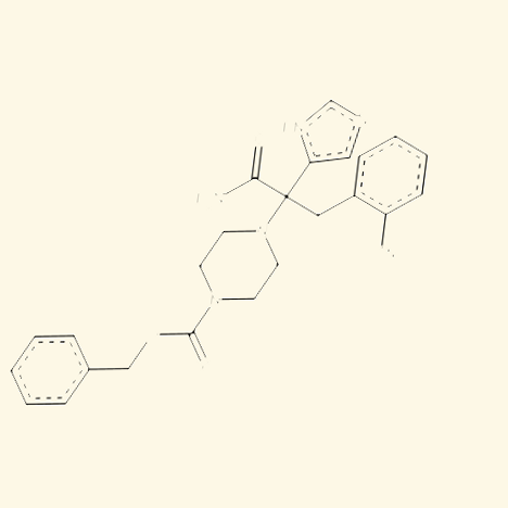 N#Cc1ccccc1CC(C(N)=O)(c1cnc[nH]1)N1CCN(C(=O)OCc2ccccc2)CC1